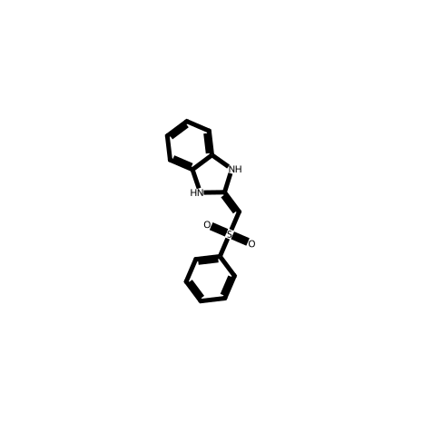 O=S(=O)(C=C1Nc2ccccc2N1)c1ccccc1